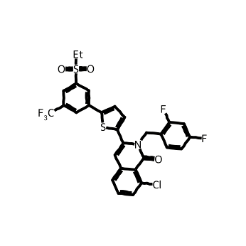 CCS(=O)(=O)c1cc(-c2ccc(-c3cc4cccc(Cl)c4c(=O)n3Cc3ccc(F)cc3F)s2)cc(C(F)(F)F)c1